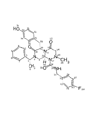 C[C@H](c1ccccc1)N1C[C@H]2N(C(=O)CN(C)N2C(=O)NCc2ccc(F)cc2)[C@@H](Cc2ccc(O)cc2)C1=O